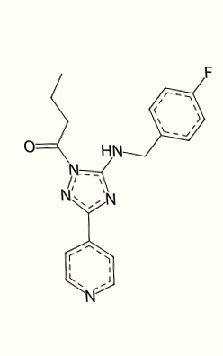 CCCC(=O)n1nc(-c2ccncc2)nc1NCc1ccc(F)cc1